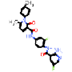 Cc1ccc(-n2c(C)ccc(C(=O)Nc3ccc(NC(=O)c4cc(F)cnc4N)c(F)c3)c2=O)cc1